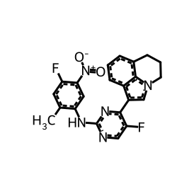 Cc1cc(F)c([N+](=O)[O-])cc1Nc1ncc(F)c(-c2cn3c4c(cccc24)CCC3)n1